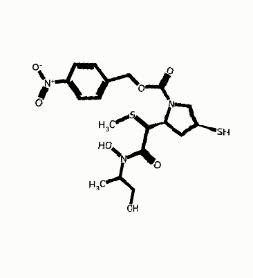 CSC(C(=O)N(O)C(C)CO)[C@@H]1C[C@H](S)CN1C(=O)OCc1ccc([N+](=O)[O-])cc1